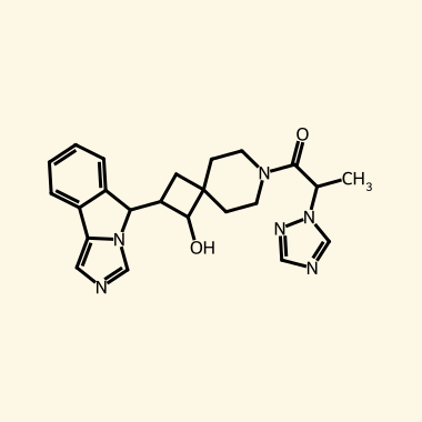 CC(C(=O)N1CCC2(CC1)CC(C1c3ccccc3-c3cncn31)C2O)n1cncn1